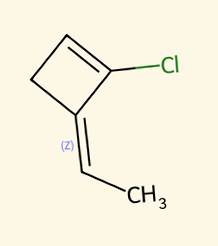 C/C=C1/CC=C1Cl